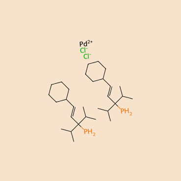 CC(C)C(P)(C=CC1CCCCC1)C(C)C.CC(C)C(P)(C=CC1CCCCC1)C(C)C.[Cl-].[Cl-].[Pd+2]